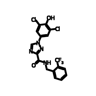 O=C(NCc1ccccc1C(F)(F)F)c1ncn(-c2cc(Cl)c(O)c(Cl)c2)n1